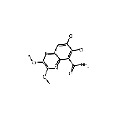 COc1nc2cc(Cl)c(Cl)c(C(N)=O)c2nc1OC